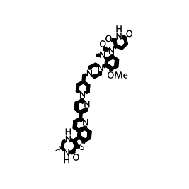 COc1ccc2c(c1N1CCN(CC3CCN(c4ccc(-c5ccc6c(ccc7sc8c(c76)NC[C@@H](C)NC8=O)n5)cn4)CC3)CC1)n(C)c(=O)n2C1CCC(=O)NC1=O